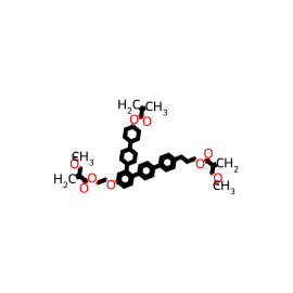 C=C(C)C(=O)OC1CCC(C2CCC(c3cc(OCCOC(=O)C(=C)COC)ccc3-c3ccc(-c4ccc(CCCOC(=O)C(=C)COC)cc4)cc3)CC2)CC1